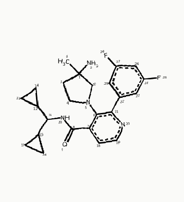 CC1(N)CCN(c2c(C(=O)NC(C3CC3)C3CC3)ccnc2-c2cc(F)cc(F)c2)C1